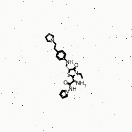 CCN1C(=O)[C@@H](CNc2ccc(CCN3CCCC3)cc2)SC1[C@H](N)C(=O)Nn1cccc1